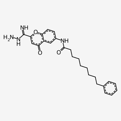 N=C(NN)c1cc(=O)c2cc(NC(=O)CCCCCCCCc3ccccc3)ccc2o1